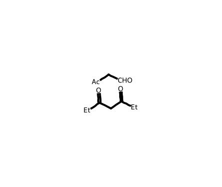 CC(=O)CC=O.CCC(=O)CC(=O)CC